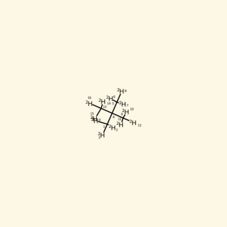 [2H]C([2H])([2H])C(C([2H])([2H])[2H])(C([2H])([2H])[2H])C([2H])([2H])[2H]